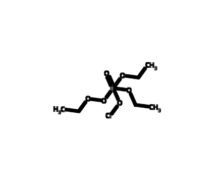 CCO[O][Ti](=[O])([O]Cl)([O]CC)[O]CC